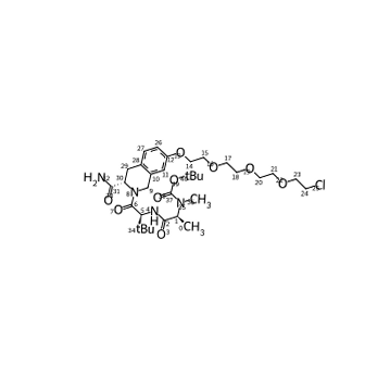 C[C@@H](C(=O)N[C@H](C(=O)N1Cc2cc(OCCOCCOCCOCCCl)ccc2C[C@H]1C(N)=O)C(C)(C)C)N(C)C(=O)OC(C)(C)C